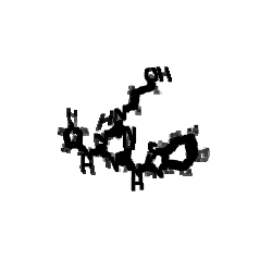 OCCCNc1nc(Nc2nc3ccccc3s2)nc(NC2CCNC2)n1